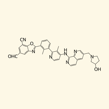 Cc1c(-c2nc3cc(C=O)cc(C#N)c3o2)cccc1-c1nccc(Nc2nccc3cc(CN4CCC(O)C4)cnc23)c1C